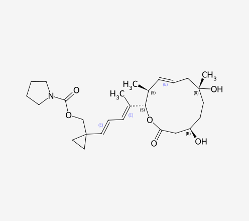 C/C(=C\C=C\C1(COC(=O)N2CCCC2)CC1)[C@H]1OC(=O)C[C@H](O)CC[C@@](C)(O)C/C=C/[C@@H]1C